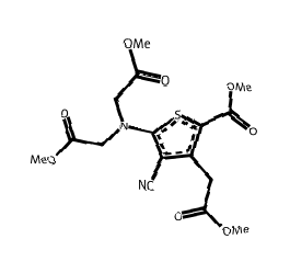 COC(=O)Cc1c(C(=O)OC)sc(N(CC(=O)OC)CC(=O)OC)c1C#N